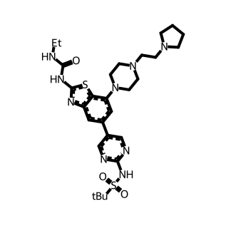 CCNC(=O)Nc1nc2cc(-c3cnc(NS(=O)(=O)C(C)(C)C)nc3)cc(N3CCN(CCN4CCCC4)CC3)c2s1